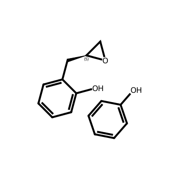 Oc1ccccc1.Oc1ccccc1C[C@H]1CO1